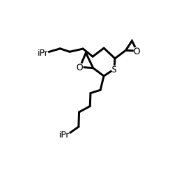 CC(C)CCCCCC(SC(CCCCCC(C)C)C1CO1)C1CO1